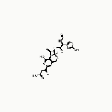 CC(=O)CC(=O)OCC1=C(C(=O)O)N2C(=O)[C@@H](NC(=O)C(NC=O)c3csc(N)n3)[C@@H]2SC1